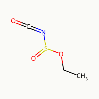 CCOS(=O)N=C=O